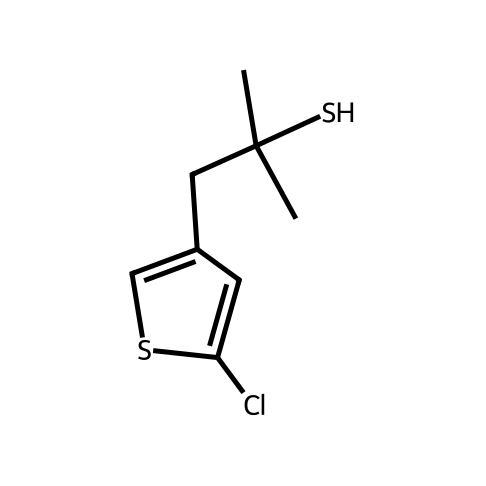 CC(C)(S)Cc1csc(Cl)c1